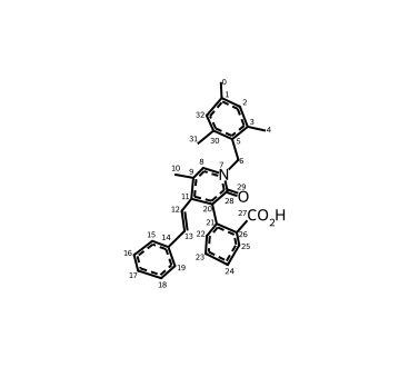 Cc1cc(C)c(Cn2cc(C)c(C=Cc3ccccc3)c(-c3ccccc3C(=O)O)c2=O)c(C)c1